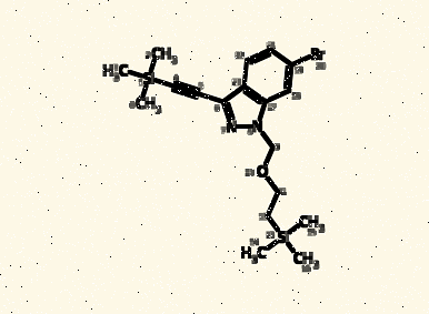 C[Si](C)(C)C#Cc1nn(COCC[Si](C)(C)C)c2cc(Br)ccc12